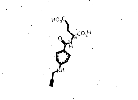 C#CCNc1ccc(C(=O)N[C@H](CCC(=O)O)C(=O)O)cc1